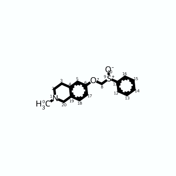 CN1CCc2cc(OC[S+]([O-])c3ccccc3)ccc2C1